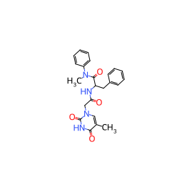 Cc1cn(CC(=O)NC(Cc2ccccc2)C(=O)N(C)c2ccccc2)c(=O)[nH]c1=O